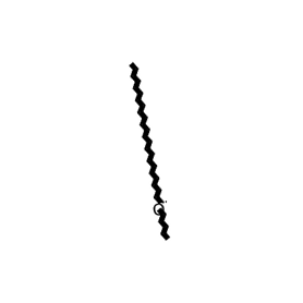 CCCCCCCCCCCCCCCCCCCCCCC[CH]OCCCCC